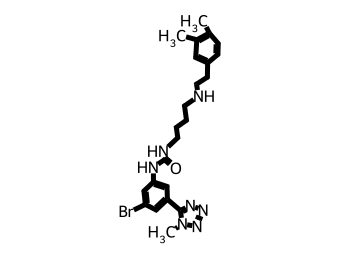 Cc1ccc(CCNCCCCNC(=O)Nc2cc(Br)cc(-c3nnnn3C)c2)cc1C